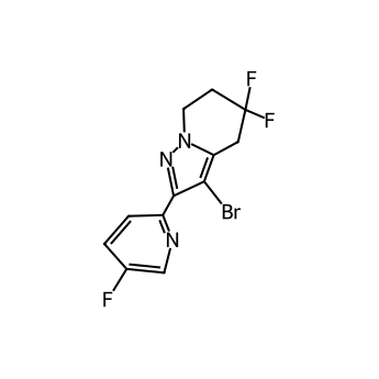 Fc1ccc(-c2nn3c(c2Br)CC(F)(F)CC3)nc1